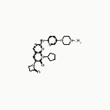 CN1CCN(c2ccc(Nc3ncc4cc(N5CCC5=O)c(=O)n(C5CCCC5)c4n3)nc2)CC1